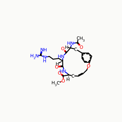 COC(=O)[C@@H]1CC=CCOc2ccc(cc2)C[C@@H](NC(C)=O)C(=O)N[C@@H](CCCNC(=N)N)C(=O)N1